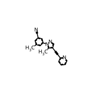 Cc1cc(C#N)cc(-n2ncc(C#Cc3ccccn3)c2C)c1